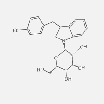 CCc1ccc(CC2CN([C@@H]3O[C@H](CO)[C@@H](O)[C@H](O)[C@H]3O)c3ccccc32)cc1